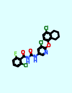 O=C(NC(=O)c1c(F)cccc1Cl)Nc1cnc(Oc2ccc(Cl)c3c2CCCC3)c(Cl)c1